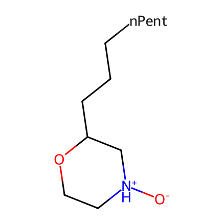 CCCCCCCCC1C[NH+]([O-])CCO1